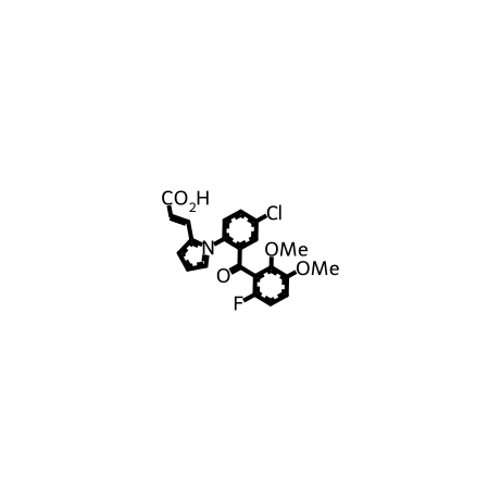 COc1ccc(F)c(C(=O)c2cc(Cl)ccc2-n2cccc2C=CC(=O)O)c1OC